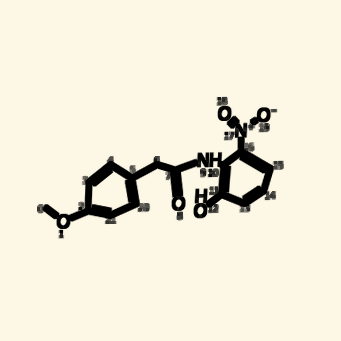 COc1ccc(CC(=O)Nc2c(O)cccc2[N+](=O)[O-])cc1